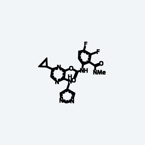 CNC(=O)c1c(NC(=O)Oc2nc(C3CC3)cnc2Nc2cncnc2)ccc(F)c1F